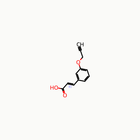 C#CCOc1cccc(/C=C/C(=O)O)c1